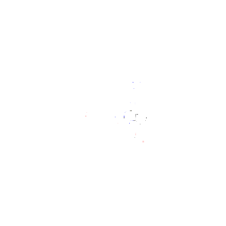 Cc1ccc2nc(C(=O)NCC3CCCO3)nc(NC3CCCCC3NC(=N)N)c2c1.O=C(O)C(F)(F)F.O=C(O)C(F)(F)F